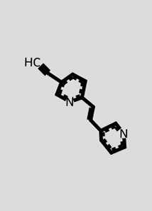 C#Cc1ccc(/C=C/c2cccnc2)nc1